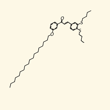 CCCCCCCCCCCCCCCCCCOc1cccc(C(=O)C=Cc2ccc(SCCCC)c(SCCCC)c2)c1